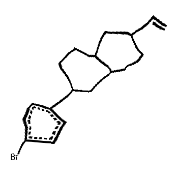 C=CC1CCC2CC(c3ccc(Br)cc3)CCC2C1